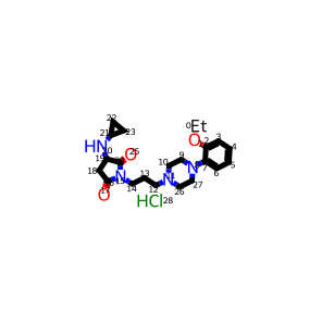 CCOc1ccccc1N1CCN(CCCN2C(=O)CC(NC3CC3)C2=O)CC1.Cl